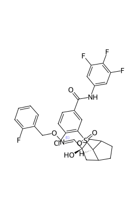 O=C(Nc1cc(F)c(F)c(F)c1)c1ccc(Cl)c(S(=O)(=O)[C@H]2C3CCC2C[C@](O)(/C=N/OCc2ccccc2F)C3)c1